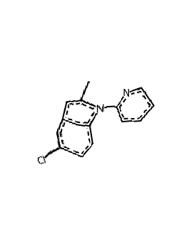 Cc1cc2cc(Cl)ccc2n1-c1ccccn1